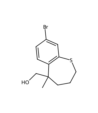 CC1(CO)CCCSc2cc(Br)ccc21